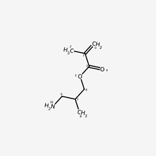 C=C(C)C(=O)OCC(C)CN